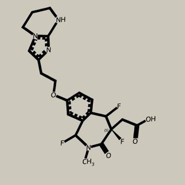 CN1C(=O)[C@@](F)(CC(=O)O)C(F)c2ccc(OCCc3cn4c(n3)NCCC4)cc2C1F